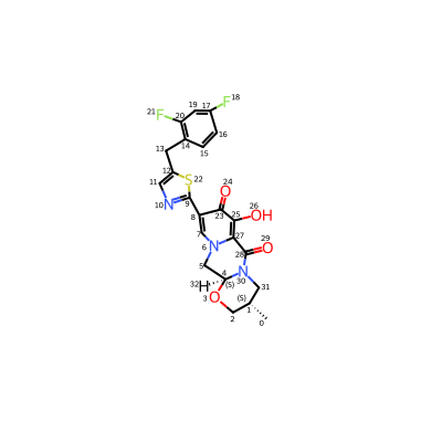 C[C@@H]1CO[C@H]2Cn3cc(-c4ncc(Cc5ccc(F)cc5F)s4)c(=O)c(O)c3C(=O)N2C1